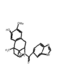 COc1cc2c(cc1O)C1(C)CCN(C(=O)c3ccc4nc[nH]c4c3)C(C2)C1(C)C